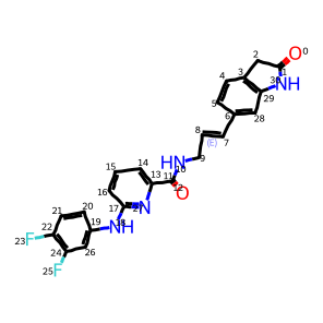 O=C1Cc2ccc(/C=C/CNC(=O)c3cccc(Nc4ccc(F)c(F)c4)n3)cc2N1